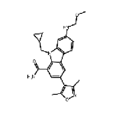 COCNc1ccc2c3cc(-c4c(C)noc4C)cc(C(N)=O)c3n(CC3CC3)c2c1